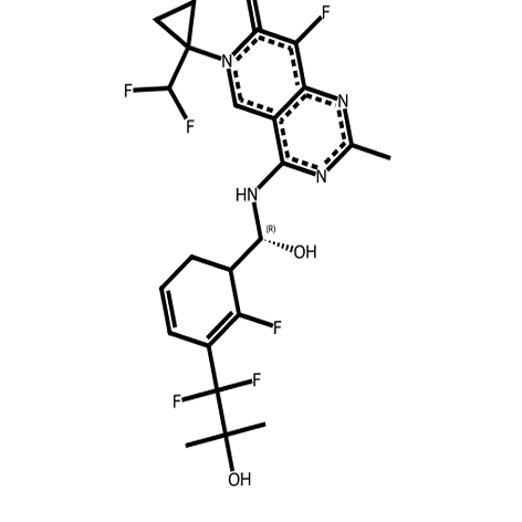 Cc1nc(N[C@H](O)C2CC=CC(C(F)(F)C(C)(C)O)=C2F)c2cn(C3(C(F)F)CC3)c(=O)c(F)c2n1